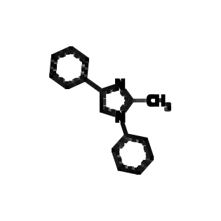 Cc1nc(-c2ccccc2)cn1-c1ccccc1